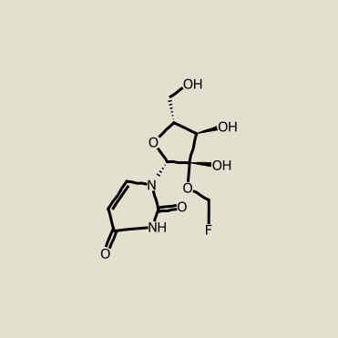 O=c1ccn([C@@H]2O[C@H](CO)[C@@H](O)[C@]2(O)OCF)c(=O)[nH]1